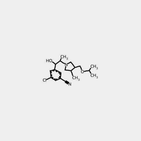 CC(C)OCC1CN(C(C)C(O)c2cc(Cl)cc(C#N)c2)CC1C